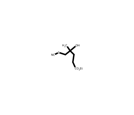 CCOC(=O)CCC(C)(O)CSC#N